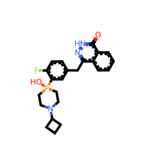 O=c1[nH]nc(Cc2ccc(F)c([P]3(O)CCN(C4CCC4)CC3)c2)c2ccccc12